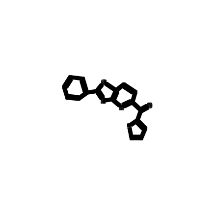 O=C(c1ccc2oc(-c3ccccc3)nc2n1)c1cccs1